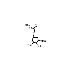 CCCCOC(=O)CCc1cc(C(C)(C)C)c(O)c(C(C)(C)C)c1